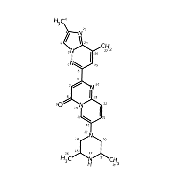 Cc1cn2nc(-c3cc(=O)n4cc(N5CC(C)NC(C)C5)ccc4n3)cc(C)c2n1